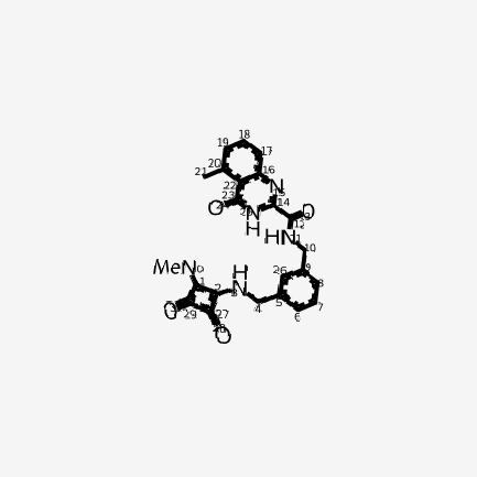 CNc1c(NCc2cccc(CNC(=O)c3nc4cccc(C)c4c(=O)[nH]3)c2)c(=O)c1=O